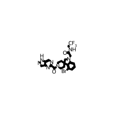 O=C(CN1CC2(CCN(C(=O)c3ncc4[nH]ncc4n3)CC2)c2c(Br)cccc21)NCC(F)(F)F